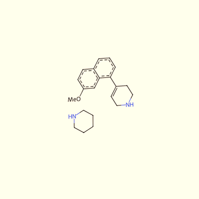 C1CCNCC1.COc1ccc2cccc(C3=CCNCC3)c2c1